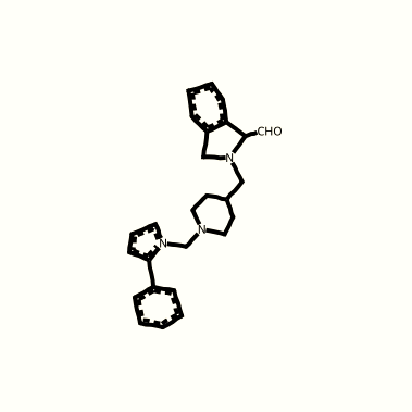 O=CC1c2ccccc2CN1CC1CCN(Cn2cccc2-c2ccccc2)CC1